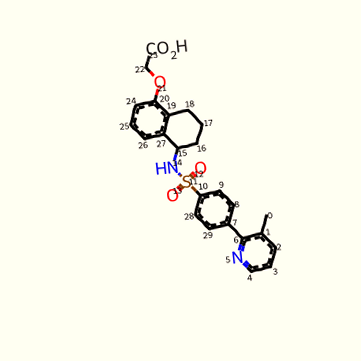 Cc1cccnc1-c1ccc(S(=O)(=O)NC2CCCc3c(OCC(=O)O)cccc32)cc1